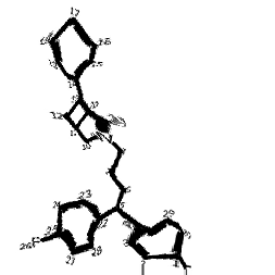 Fc1ccc(C(CCCN2CC3CC(c4ccccc4)C3C2)c2ccc(F)cc2)cc1